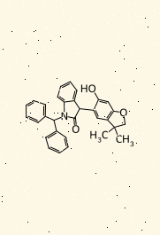 CC1(C)COc2cc(O)c(C3C(=O)N(C(c4ccccc4)c4ccccc4)c4ccccc43)cc21